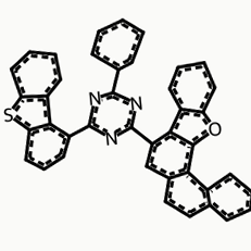 c1ccc(-c2nc(-c3cccc4sc5ccccc5c34)nc(-c3cc4ccc5ccccc5c4c4oc5ccccc5c34)n2)cc1